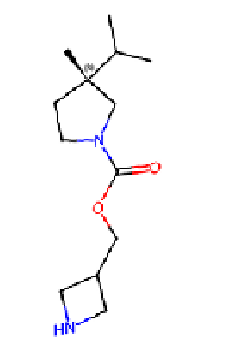 CC(C)[C@@]1(C)CCN(C(=O)OCC2CNC2)C1